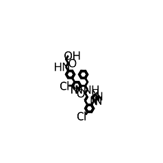 O=C(C=Cc1cc(Cl)ccc1-n1cnnn1)NC(Cc1ccccc1)c1cc(-c2ccc(NC(=O)CO)cc2)c(Cl)nn1